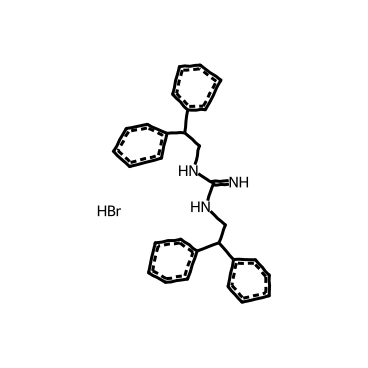 Br.N=C(NCC(c1ccccc1)c1ccccc1)NCC(c1ccccc1)c1ccccc1